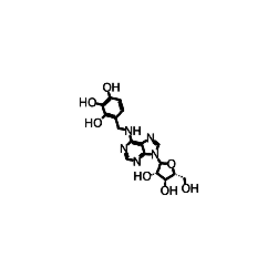 OC[C@H]1OC(n2cnc3c(NCc4ccc(O)c(O)c4O)ncnc32)[C@@H](O)[C@@H]1O